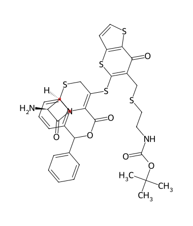 CC(C)(C)OC(=O)NCCSCc1c(SC2=C(C(=O)OC(c3ccccc3)c3ccccc3)N3C(=O)[C@@H](N)[C@H]3SC2)sc2ccsc2c1=O